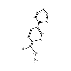 CC(C)(C)PC(=C1C=CC(c2ccccc2)=CC1)C(C)(C)C